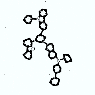 c1ccc(-c2ccc(N(c3ccccc3)c3ccc4cc(-c5cc(-c6ccc7c8ccccc8n(-c8ccccc8)c7c6)cc(-c6cccc7c6oc6ccccc67)c5)ccc4c3)cc2)cc1